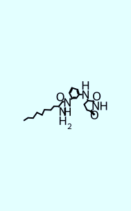 CCCCCCCCC(N)C(=O)Nc1cccc(NC2CCC(=O)NC2=O)c1